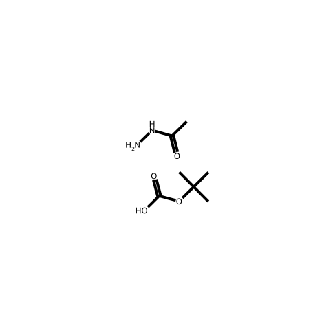 CC(=O)NN.CC(C)(C)OC(=O)O